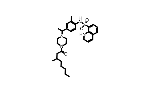 CCCCCC(C)CC(=O)N1CCN(C(C)c2ccc(NS(=O)(=O)c3cccc4c3NCC=C4)c(C)c2)CC1